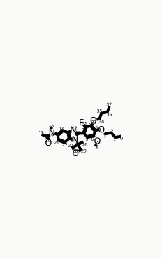 CCCCOc1c(OC)cc(-c2nc3cc(N(C)C(C)=O)ccc3n2C2(C)COC2)c(F)c1OCCCC